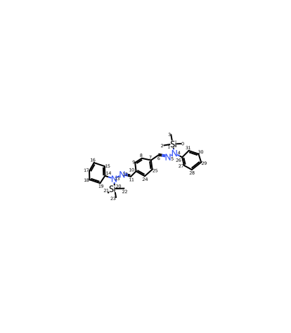 C[Si](C)(C)N(N=Cc1ccc(C=NN(c2ccccc2)[Si](C)(C)C)cc1)c1ccccc1